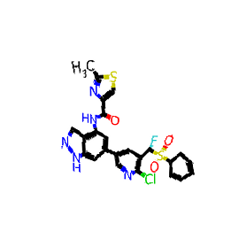 Cc1nc(C(=O)Nc2cc(-c3cnc(Cl)c(C(F)S(=O)(=O)C4C=CC=CC4)c3)cc3[nH]ncc23)cs1